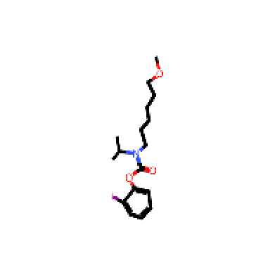 COCCCCCCN(C(=O)Oc1ccccc1I)C(C)C